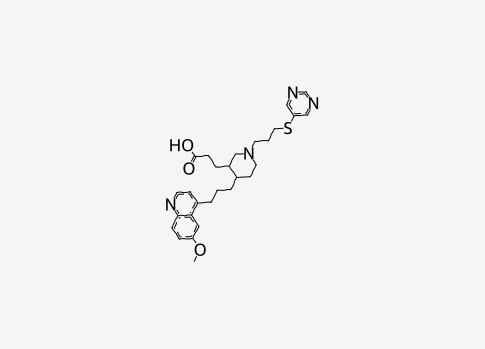 COc1ccc2nccc(CCCC3CCN(CCCSc4cncnc4)CC3CCC(=O)O)c2c1